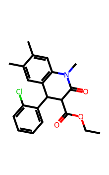 CCOC(=O)C1C(=O)N(C)c2cc(C)c(C)cc2C1c1ccccc1Cl